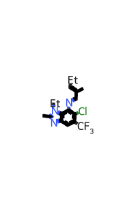 CCC=C(C)C=Nc1c(Cl)c(C(F)(F)F)cc2nc(C)n(CC)c12